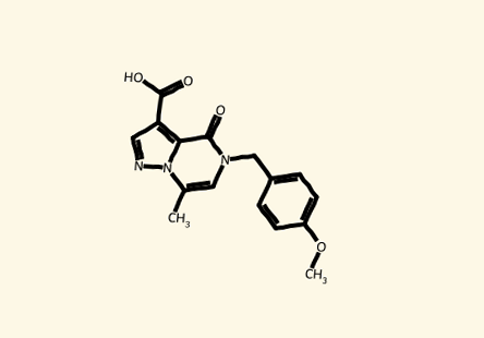 COc1ccc(Cn2cc(C)n3ncc(C(=O)O)c3c2=O)cc1